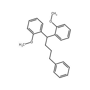 COc1ccccc1C(CCCc1ccccc1)c1ccccc1OC